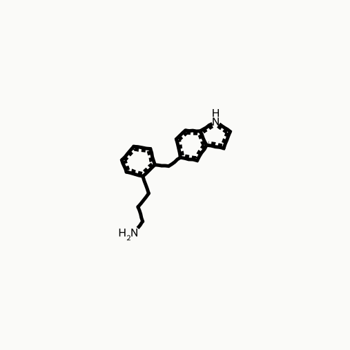 NCCCc1ccccc1Cc1ccc2[nH]ccc2c1